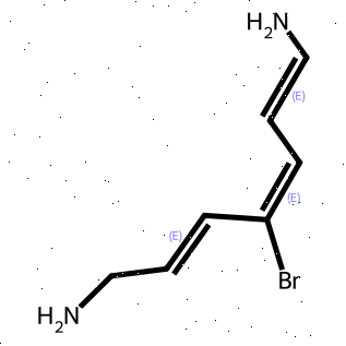 N/C=C/C=C(Br)\C=C\CN